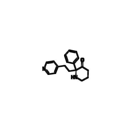 O=C1CCCNC1(CCc1ccncc1)c1ccccc1